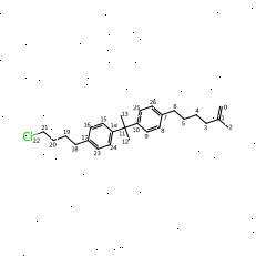 C=C(C)CCCCc1ccc(C(C)(C)c2ccc(CCCCCl)cc2)cc1